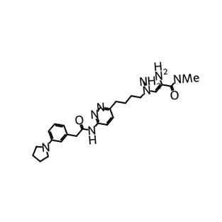 CNC(=O)/C(N)=C/N(N)CCCCc1ccc(NC(=O)Cc2cccc(N3CCCC3)c2)nn1